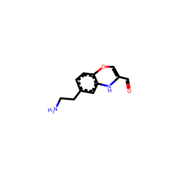 NCCc1ccc2c(c1)NC(C=O)=CO2